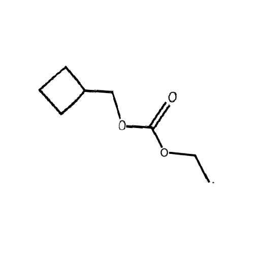 [CH2]COC(=O)OCC1CCC1